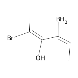 BC(=C/C)/C(O)=C(\C)Br